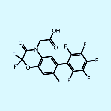 Cc1cc2c(cc1-c1c(F)c(F)c(F)c(F)c1F)N(CC(=O)O)C(=O)C(F)(F)O2